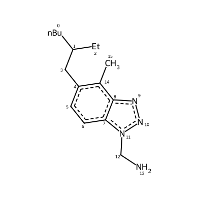 CCCCC(CC)Cc1ccc2c(nnn2CN)c1C